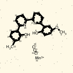 COc1ccc(O)c(-c2cccc(-c3cccc(-c4ccc(C)cc4O)n3)n2)c1.[Cl-].[Cl-].[Cl-].[Mn+3]